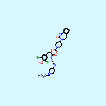 O=C(O)CN1CCC(N=C=C=NC(=O)[C@@H](Cc2cc(Br)c(O)c(Br)c2)OC(=O)N2CCC(N3CCc4ccccc4NC3=O)CC2)CC1